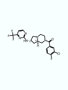 O=C(c1ccc(F)c(Cl)c1)N1CCN2C[C@@H](Nc3nccc(C(F)(F)F)n3)C[C@H]2C1